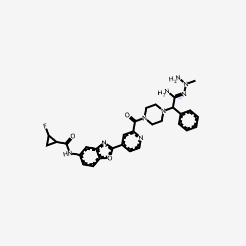 CN(N)/N=C(\N)C(c1ccccc1)N1CCN(C(=O)c2cc(-c3nc4cc(NC(=O)C5CC5F)ccc4o3)ccn2)CC1